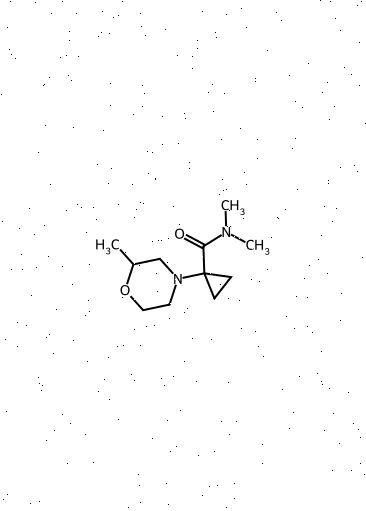 CC1CN(C2(C(=O)N(C)C)CC2)CCO1